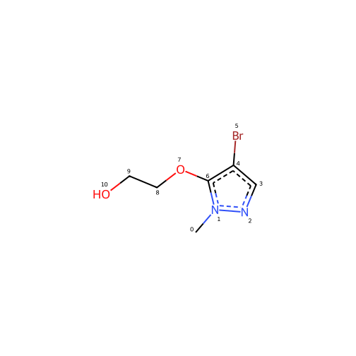 Cn1ncc(Br)c1OCCO